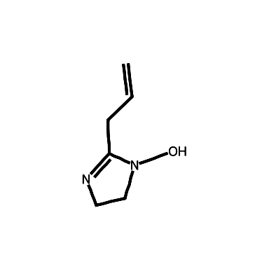 C=CCC1=NCCN1O